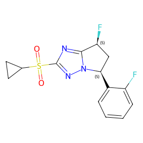 O=S(=O)(c1nc2n(n1)[C@H](c1ccccc1F)C[C@@H]2F)C1CC1